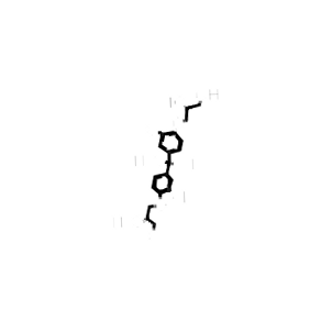 C[C@@H](CCl)COc1ccc(C(C)(C)c2ccc(OC[C@@H](O)CO)c(Cl)c2)cc1Cl